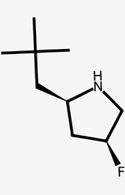 CC(C)(C)C[C@@H]1C[C@H](F)CN1